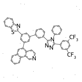 FC(F)(F)c1cc(-c2nnc(-c3cccc(-c4cc(-c5nc6ccccc6s5)cc(-c5cc6ccccc6c6cnccc56)c4)c3)n2-c2ccccc2)cc(C(F)(F)F)c1